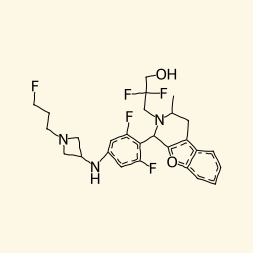 CC1Cc2c(oc3ccccc23)C(c2c(F)cc(NC3CN(CCCF)C3)cc2F)N1CC(F)(F)CO